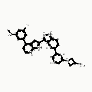 COc1cc(F)cc(-c2ccnc3[nH]c(-c4n[nH]c5ccc(-c6cncc(N7CC(N)C7)n6)nc45)cc23)c1